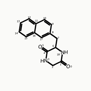 O=C1[CH]NC(=O)C(Cc2ccc3ccccc3c2)N1